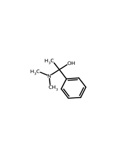 CN(C)C(C)(O)c1ccccc1